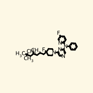 C=C(CCCC1(F)CCN(c2cncc(N(c3ccccc3)c3ccc(F)cn3)n2)CC1)CC(C)(C)C